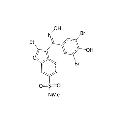 CCc1oc2cc(S(=O)(=O)NC)ccc2c1C(=NO)c1cc(Br)c(O)c(Br)c1